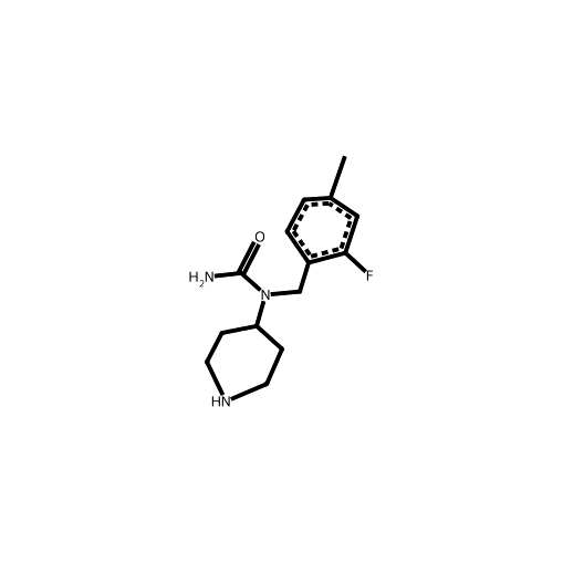 Cc1ccc(CN(C(N)=O)C2CCNCC2)c(F)c1